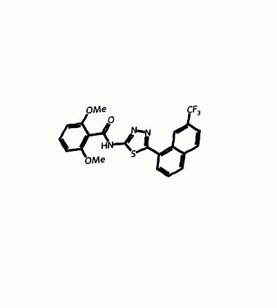 COc1cccc(OC)c1C(=O)Nc1nnc(-c2cccc3ccc(C(F)(F)F)cc23)s1